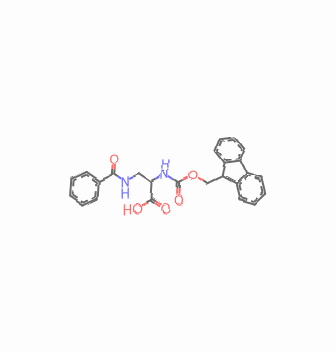 O=C(NC(CNC(=O)c1ccccc1)C(=O)O)OCC1c2ccccc2-c2ccccc21